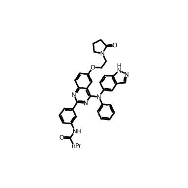 CCCC(=O)Nc1cccc(-c2nc(N(c3ccccc3)c3ccc4[nH]ncc4c3)c3cc(OCCN4CCCC4=O)ccc3n2)c1